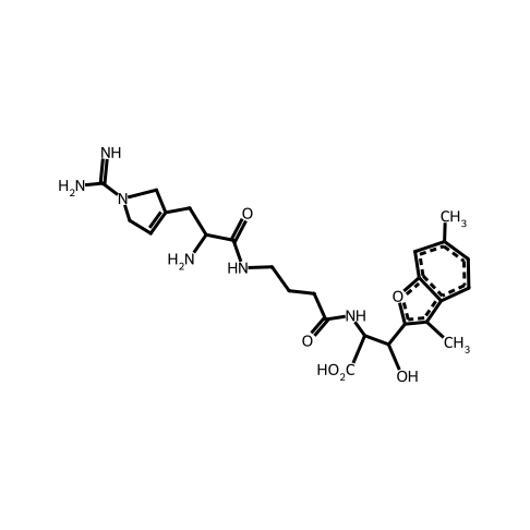 Cc1ccc2c(C)c(C(O)C(NC(=O)CCCNC(=O)C(N)CC3=CCN(C(=N)N)C3)C(=O)O)oc2c1